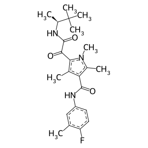 Cc1cc(NC(=O)c2c(C)c(C(=O)C(=O)N[C@@H](C)C(C)(C)C)n(C)c2C)ccc1F